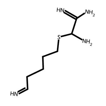 N=CCCCCSC(N)C(=N)N